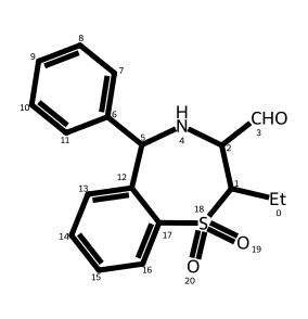 CCC1C(C=O)NC(c2ccccc2)c2ccccc2S1(=O)=O